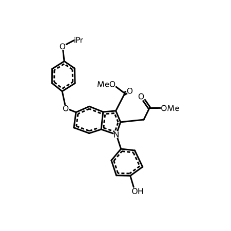 COC(=O)Cc1c(C(=O)OC)c2cc(Oc3ccc(OC(C)C)cc3)ccc2n1-c1ccc(O)cc1